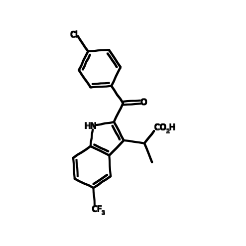 CC(C(=O)O)c1c(C(=O)c2ccc(Cl)cc2)[nH]c2ccc(C(F)(F)F)cc12